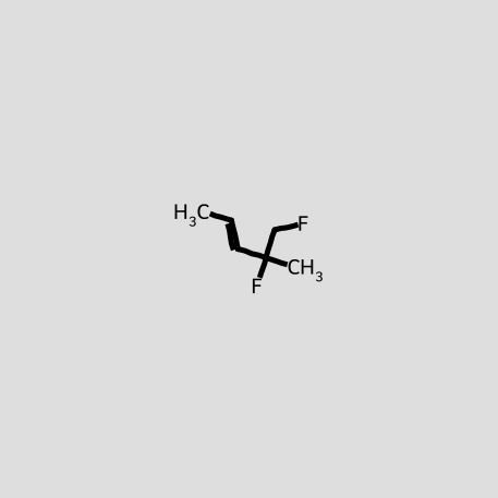 C/C=C/C(C)(F)CF